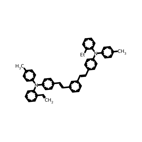 C=Cc1ccccc1N(c1ccc(C)cc1)c1ccc(C=Cc2cccc(C=Cc3ccc(N(c4ccc(C)cc4)c4ccccc4CC)cc3)c2)cc1